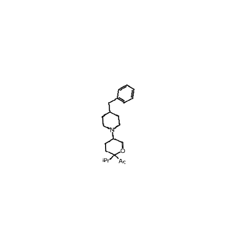 CC(=O)C1(C(C)C)CCC(N2CCC(Cc3ccccc3)CC2)CO1